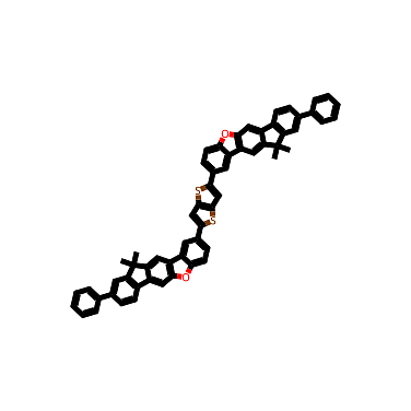 CC1(C)c2cc(-c3ccccc3)ccc2-c2cc3oc4ccc(-c5cc6sc(-c7ccc8oc9cc%10c(cc9c8c7)C(C)(C)c7cc(-c8ccccc8)ccc7-%10)cc6s5)cc4c3cc21